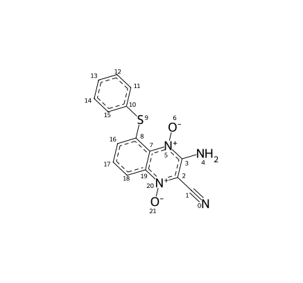 N#Cc1c(N)[n+]([O-])c2c(Sc3ccccc3)cccc2[n+]1[O-]